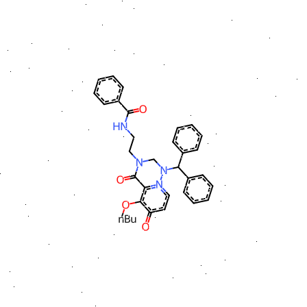 CCCCOc1c2n(ccc1=O)N(C(c1ccccc1)c1ccccc1)CN(CCNC(=O)c1ccccc1)C2=O